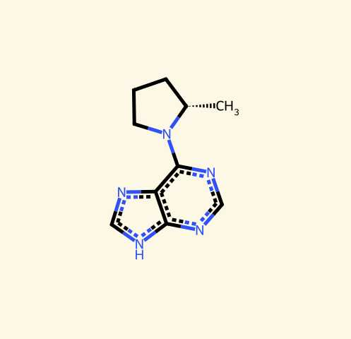 C[C@H]1CCCN1c1ncnc2[nH]cnc12